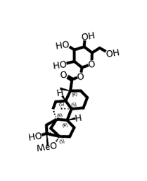 CO[C@@]12CC[C@@H]3[C@@](CC[C@H]4[C@@]3(C)CCC[C@@]4(C)C(=O)OC3OC(CO)C(O)C(O)C3O)(C1)C[C@@]2(C)O